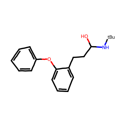 CC(C)(C)NC(O)CCc1ccccc1Oc1ccccc1